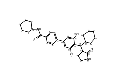 O=C(NN1CCCCC1)c1ccc(-c2cc(Cl)c(C(C3CCCCC3)C3CCNC3=O)c(Cl)c2)cc1